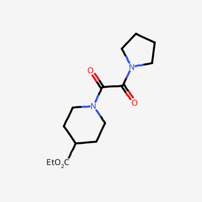 CCOC(=O)C1CCN(C(=O)C(=O)N2CCCC2)CC1